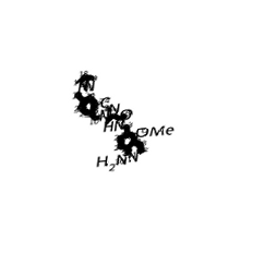 COc1c(CNC(=O)c2cn(Cc3ccc(Cn4cccn4)cc3)c(C)n2)ccc2c(N)nccc12